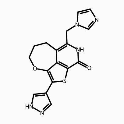 O=c1[nH]c(Cn2ccnc2)c2c3c(c(-c4cn[nH]c4)sc13)OCCC2